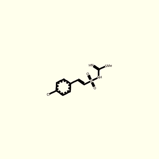 CSC(=N)NS(=O)(=O)/C=C/c1ccc(Cl)cc1